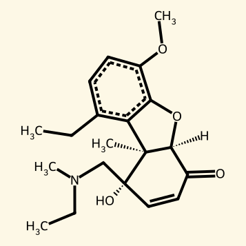 CCc1ccc(OC)c2c1[C@@]1(C)[C@@H](O2)C(=O)C=C[C@@]1(O)CN(C)CC